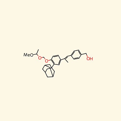 COC(C)OCOc1ccc(C(C)=Cc2ccc(CO)cc2)cc1C12CC3CC(CC(C3)C1)C2